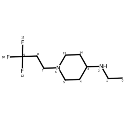 CCNC1CCN(CCC(F)(F)F)CC1